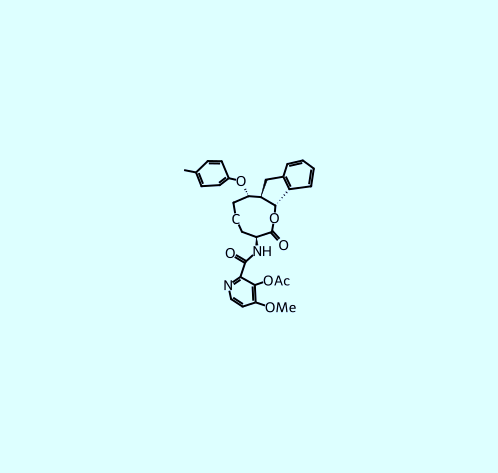 COc1ccnc(C(=O)N[C@H]2CCC[C@H](Oc3ccc(C)cc3)[C@@H](Cc3ccccc3)[C@H](C)OC2=O)c1OC(C)=O